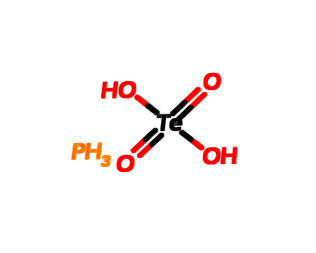 O=[Te](=O)(O)O.P